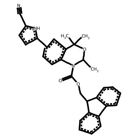 CC1OC(C)(C)c2cc(-c3ccc(C#N)[nH]3)ccc2N1C(=O)OCC1c2ccccc2-c2ccccc21